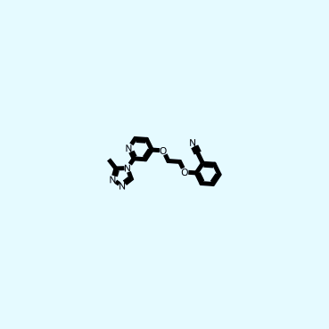 Cc1nncn1-c1cc(OCCOc2ccccc2C#N)ccn1